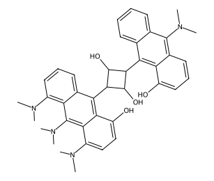 CN(C)c1c2ccccc2c(C2C(O)C(c3c4cccc(N(C)C)c4c(N(C)C)c4c(N(C)C)ccc(O)c34)C2O)c2c(O)cccc12